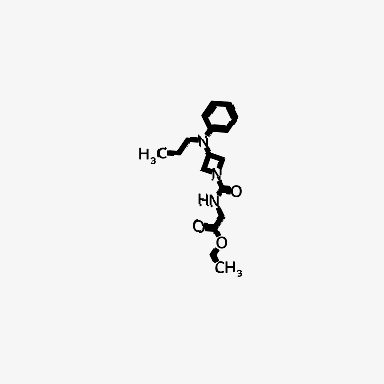 CCCN(c1ccccc1)C1CN(C(=O)NCC(=O)OCC)C1